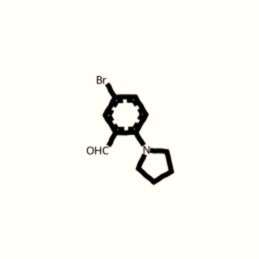 O=Cc1cc(Br)ccc1N1CCCC1